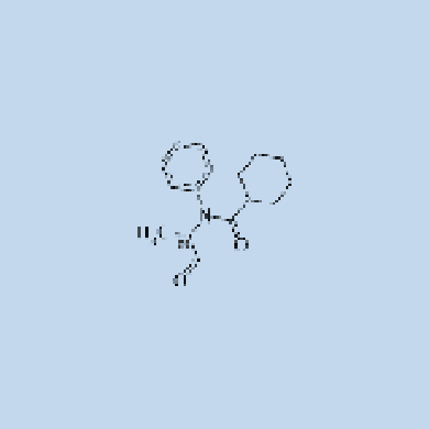 C[C@@H](C=O)N(C(=O)C1CCCCC1)c1ccccc1